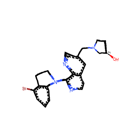 O[C@@H]1CCN(Cc2cnc3c(N4CCc5c(Br)cccc54)nccc3c2)C1